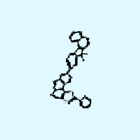 CC1(C)c2cc(-c3ccc4c(ccc5ccc6nc(-c7ccccc7)oc6c54)c3)ccc2-c2c1ccc1ccccc21